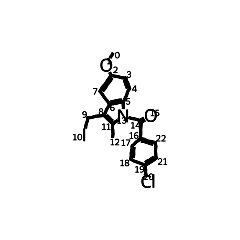 COc1ccc2c(c1)c(CI)c(C)n2C(=O)c1ccc(Cl)cc1